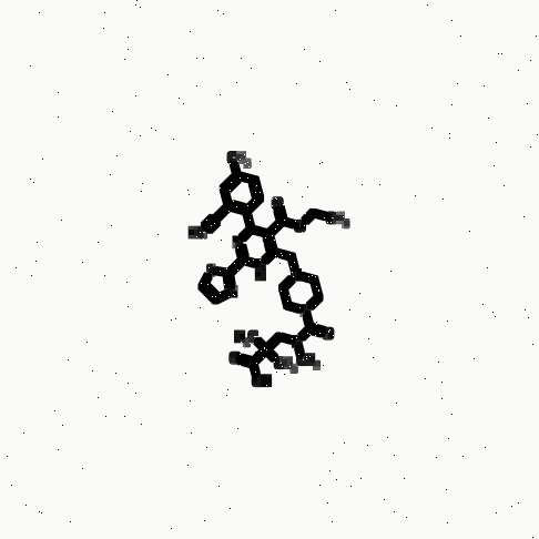 C#Cc1cc(C)ccc1C1N=C(c2nccs2)NC(CN2CCN(C(=O)N(C)CC(C)(C)C(=O)O)CC2)=C1C(=O)OCC